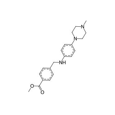 COC(=O)c1ccc(CNc2ccc(N3CCN(C)CC3)cc2)cc1